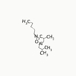 CCCCCC[O][Al]([CH2]C(C)C)[CH2]C(C)C